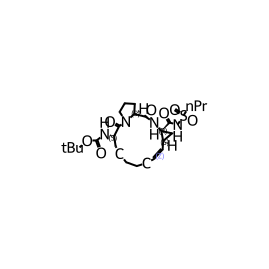 CCCS(=O)(=O)NC(=O)[C@@]12C[C@H]1/C=C\CCCCC[C@H](NC(=O)OC(C)(C)C)C(=O)N1CCC[C@H]1C(=O)N2